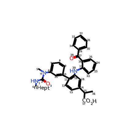 CCCCCCCNC(=O)N(C)c1cccc(-c2ccc(C(C)C(=O)O)cc2Nc2ccccc2C(=O)c2ccccc2)c1